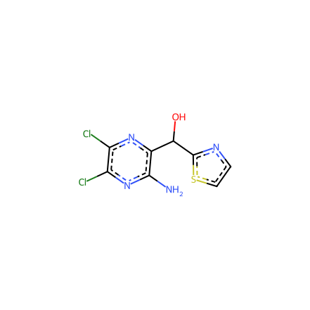 Nc1nc(Cl)c(Cl)nc1C(O)c1nccs1